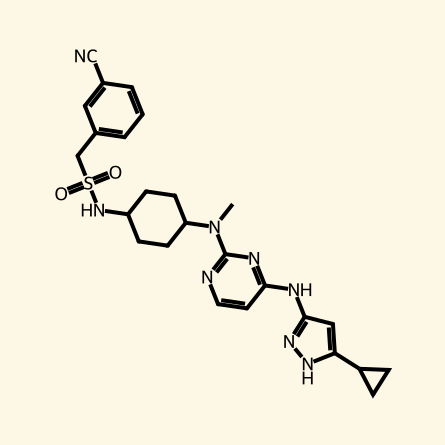 CN(c1nccc(Nc2cc(C3CC3)[nH]n2)n1)C1CCC(NS(=O)(=O)Cc2cccc(C#N)c2)CC1